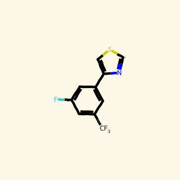 Fc1cc(-c2cs[c]n2)cc(C(F)(F)F)c1